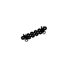 O=c1c2ccc3c4ccc5c6ccc7c8ccc9c(=O)n%10c(c%11ccc(c%12ccc(c%13ccc(c%14ccc(c%15n1C1C=CC=CC1N=%15)c2c3%14)c4c5%13)c6c7%12)c8c9%11)=NC1C=CC=CC1%10